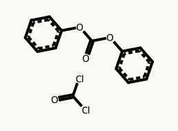 O=C(Cl)Cl.O=C(Oc1ccccc1)Oc1ccccc1